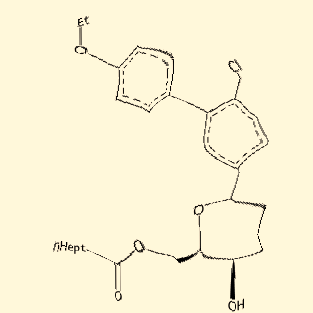 CCCCCCCC(=O)OC[C@H]1OC(c2ccc(Cl)c(-c3ccc(OCC)cc3)c2)CC[C@H]1O